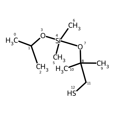 CC(C)O[Si](C)(C)OC(C)(C)CS